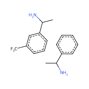 CC(N)c1cccc(C(F)(F)F)c1.CC(N)c1ccccc1